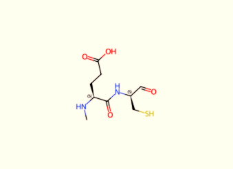 CN[C@@H](CCC(=O)O)C(=O)N[C@@H](C=O)CS